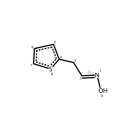 O/N=C/Cc1cccs1